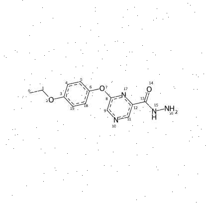 CCOc1ccc(Oc2cncc(C(=O)NN)n2)cc1